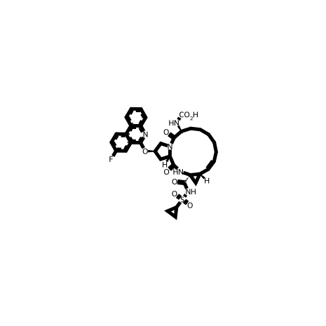 O=C(O)N[C@H]1CCCCC/C=C\[C@@H]2C[C@@]2(C(=O)NS(=O)(=O)C2CC2)NC(=O)[C@@H]2C[C@@H](Oc3nc4ccccc4c4ccc(F)cc34)CN2C1=O